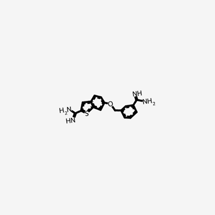 N=C(N)c1cccc(COc2ccc3cc(C(=N)N)sc3c2)c1